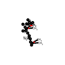 CCCCCCCC1(CCCCCCC)C2=CC(c3ccc(-c4ccc5c(c4)C(C)(C)c4cc(C6C=CC7=C(C6)C(CCCCCCC)(CCCCCCC)c6ccccc67)ccc4-5)cc3)C3Oc4ccccc4C3=C2c2ccc(N(c3ccccc3)c3ccc4c(c3)C(C)(C)c3c5c(c6oc7ccccc7c6c3-4)-c3ccccc3C5(C)C)cc21